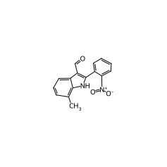 Cc1cccc2c(C=O)c(-c3ccccc3[N+](=O)[O-])[nH]c12